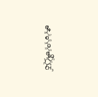 Cc1ccc2c(c1)COB2OCCOCCOCCN=O